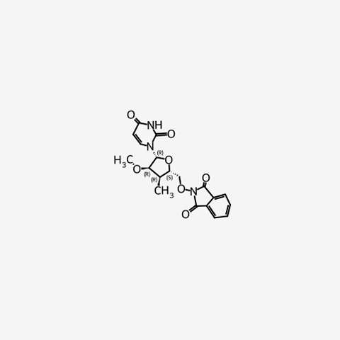 CO[C@@H]1[C@H](C)[C@@H](CON2C(=O)c3ccccc3C2=O)O[C@H]1n1ccc(=O)[nH]c1=O